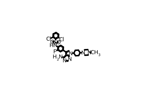 CN1CCN(C2CCC(n3cc(-c4ccc(NS(=O)(=O)c5c(Cl)cccc5Cl)c(F)c4)c4c(N)ncnc43)CC2)CC1